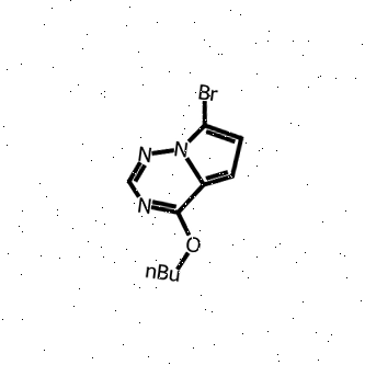 CCCCOc1ncnn2c(Br)ccc12